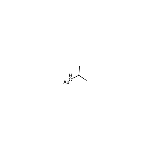 CC(C)O.[Au]